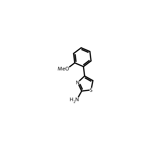 COc1ccccc1-c1csc(N)n1